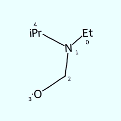 CCN(C[O])C(C)C